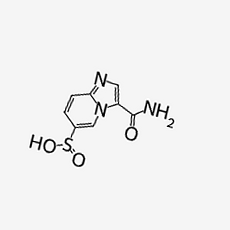 NC(=O)c1cnc2ccc(S(=O)O)cn12